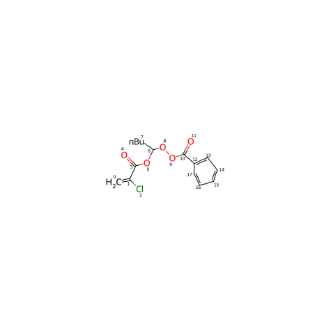 C=C(Cl)C(=O)OC(CCCC)OOC(=O)c1ccccc1